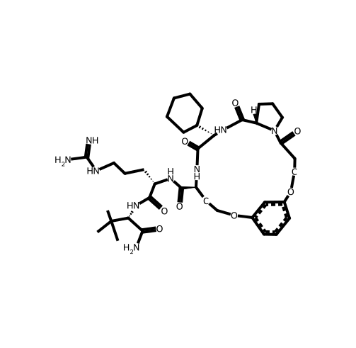 CC(C)(C)[C@H](NC(=O)[C@H](CCCNC(=N)N)NC(=O)[C@@H]1CCOc2cccc(c2)OCCC(=O)N2CCC[C@H]2C(=O)N[C@@H](C2CCCCC2)C(=O)N1)C(N)=O